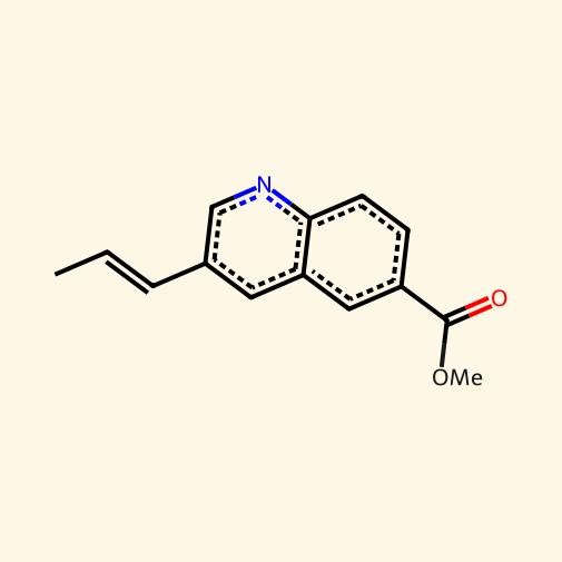 C/C=C/c1cnc2ccc(C(=O)OC)cc2c1